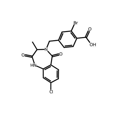 CC1C(=O)Nc2cc(Cl)ccc2C(=O)N1Cc1ccc(C(=O)O)c(Br)c1